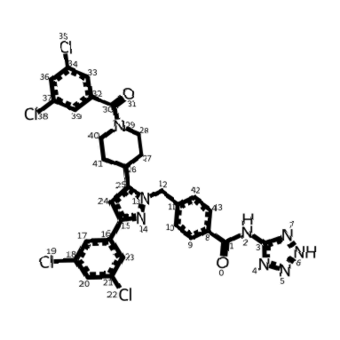 O=C(Nc1nn[nH]n1)c1ccc(Cn2nc(-c3cc(Cl)cc(Cl)c3)cc2C2CCN(C(=O)c3cc(Cl)cc(Cl)c3)CC2)cc1